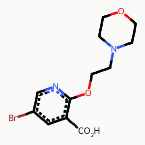 O=C(O)c1cc(Br)cnc1OCCN1CCOCC1